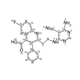 N#Cc1c(N)ncnc1NCCc1nc2ccc(F)cc2c(C(=O)O)c1-c1ccccc1